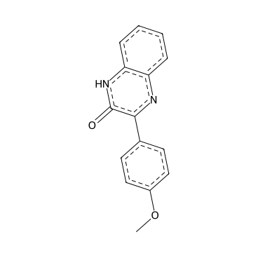 COc1ccc(-c2nc3ccccc3[nH]c2=O)cc1